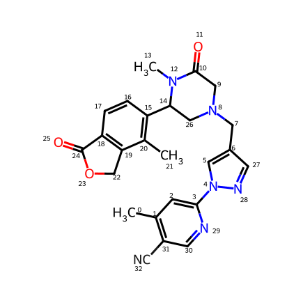 Cc1cc(-n2cc(CN3CC(=O)N(C)C(c4ccc5c(c4C)COC5=O)C3)cn2)ncc1C#N